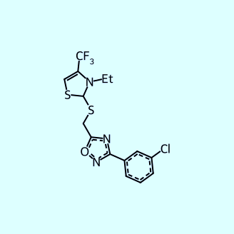 CCN1C(C(F)(F)F)=CSC1SCc1nc(-c2cccc(Cl)c2)no1